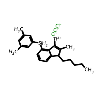 CCCCCC1C(C)=[C]([Ti+3])c2c([SiH2]c3cc(C)cc(C)c3)cccc21.[Cl-].[Cl-].[Cl-]